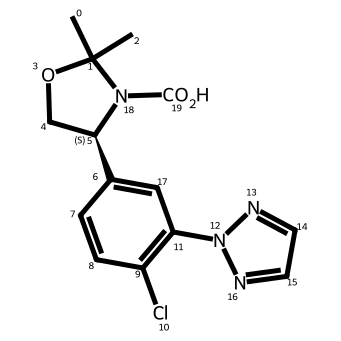 CC1(C)OC[C@H](c2ccc(Cl)c(-n3nccn3)c2)N1C(=O)O